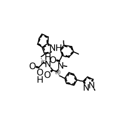 Cc1cc(C)cc(C(=O)N(C)[C@H](Cc2ccc(-c3ccn(C)n3)cc2)C(=O)N[C@@H](Cc2c[nH]c3ccccc23)C(=O)O)c1